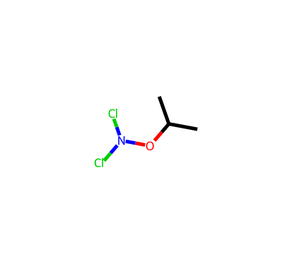 CC(C)ON(Cl)Cl